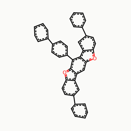 c1ccc(-c2ccc(-c3c4oc5ccc(-c6ccccc6)cc5c4cc4oc5ccc(-c6ccccc6)cc5c34)cc2)cc1